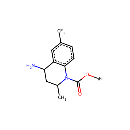 CC(C)OC(=O)N1c2ccc(C(F)(F)F)cc2C(N)CC1C